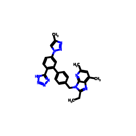 CCc1nc2c(C)cc(C)nc2n1Cc1ccc(-c2cc(-n3cc(C)nn3)ccc2-c2nnn[nH]2)cc1